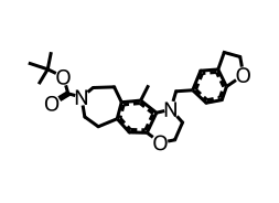 Cc1c2c(cc3c1N(Cc1ccc4c(c1)CCO4)CCO3)CCN(C(=O)OC(C)(C)C)CC2